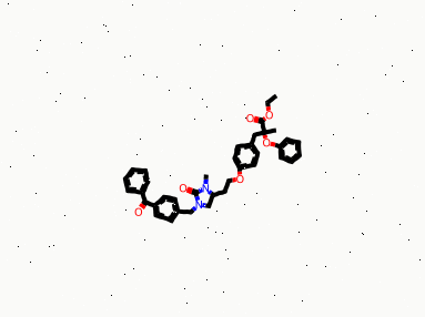 CCOC(=O)C(C)(Cc1ccc(OCCC2CN(Cc3ccc(C(=O)c4ccccc4)cc3)C(=O)N2C)cc1)Oc1ccccc1